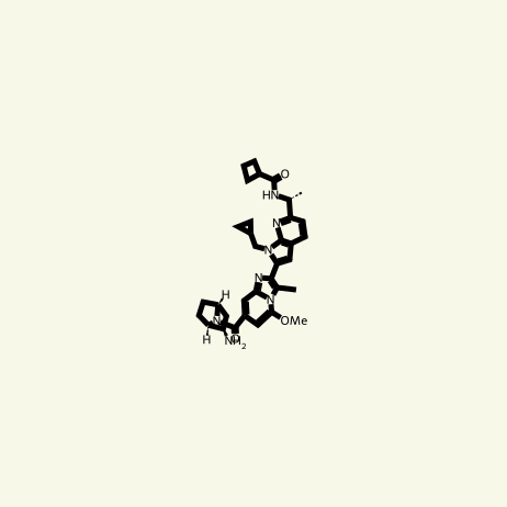 COc1cc(C(=O)N2[C@H]3CC[C@@H]2[C@H](N)C3)cc2nc(-c3cc4ccc([C@@H](C)NC(=O)C5CCC5)nc4n3CC3CC3)c(C)n12